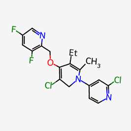 CCC1=C(C)N(c2ccnc(Cl)c2)CC(Cl)=C1OCc1ncc(F)cc1F